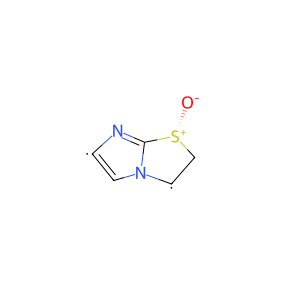 [O-][S@+]1C[CH]n2c[c]nc21